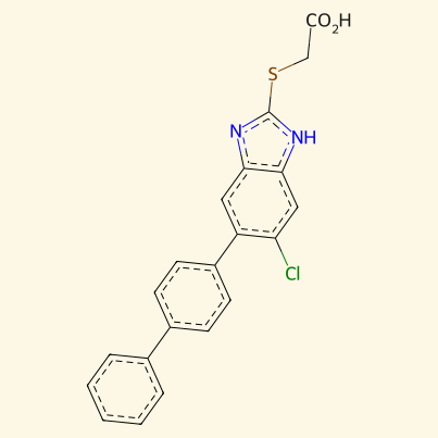 O=C(O)CSc1nc2cc(-c3ccc(-c4ccccc4)cc3)c(Cl)cc2[nH]1